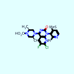 CSc1ccnc(C(C)C)c1-n1c(=O)nc(N2C[C@@H](C)N(C(=O)O)C[C@@H]2C)c2cc(F)c(Cl)nc21